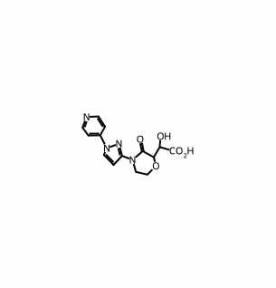 O=C(O)C(O)C1OCCN(c2ccn(-c3ccncc3)n2)C1=O